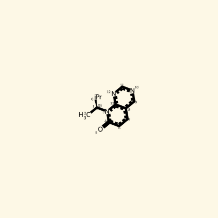 CC(C)[C@H](C)n1c(=O)ccc2cncnc21